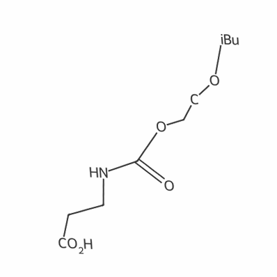 CCC(C)OCCOC(=O)NCCC(=O)O